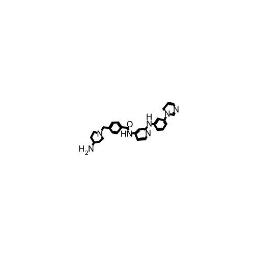 NC1CCN(Cc2ccc(C(=O)Nc3ccnc(Nc4cccc(N5C=NC=CC5)c4)c3)cc2)CC1